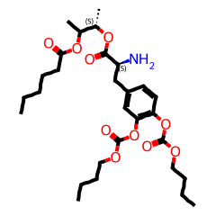 CCCCCC(=O)OC(C)[C@H](C)OC(=O)[C@@H](N)Cc1ccc(OC(=O)OCCCC)c(OC(=O)OCCCC)c1